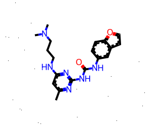 Cc1cc(NCCCN(C)C)nc(NC(=O)Nc2ccc3occc3c2)n1